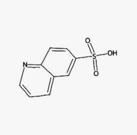 O=S(=O)(O)c1ccc2ncccc2c1